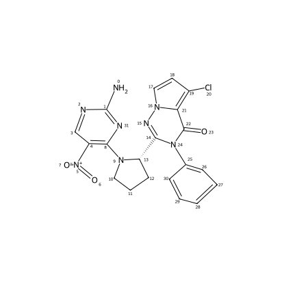 Nc1ncc([N+](=O)[O-])c(N2CCC[C@H]2c2nn3ccc(Cl)c3c(=O)n2-c2ccccc2)n1